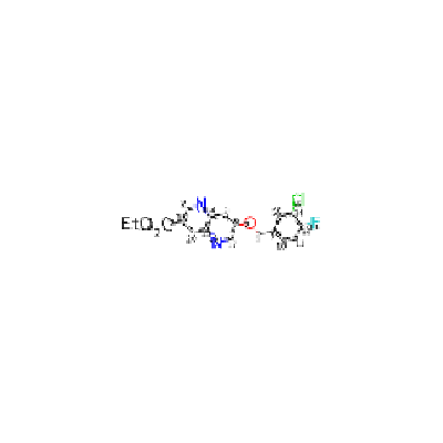 CCOC(=O)c1cnc2cc(OCc3ccc(F)c(Cl)c3)cnc2c1